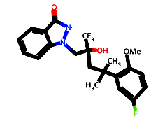 COc1ccc(F)cc1C(C)(C)CC(O)(CN1[N]C(=O)c2ccccc21)C(F)(F)F